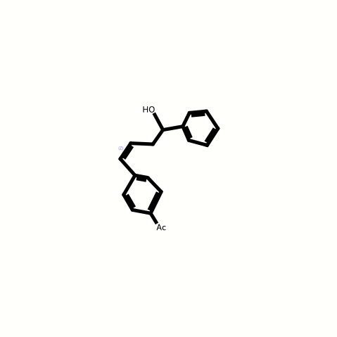 CC(=O)c1ccc(/C=C\CC(O)c2ccccc2)cc1